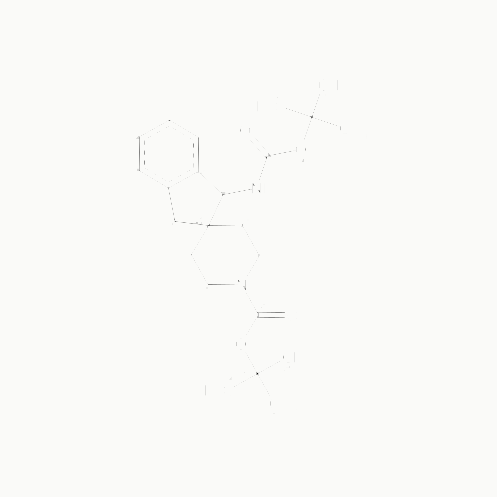 CC(C)(C)OC(=O)NC1c2ccccc2CC12CCN(C(=O)OC(C)(C)C)CC2